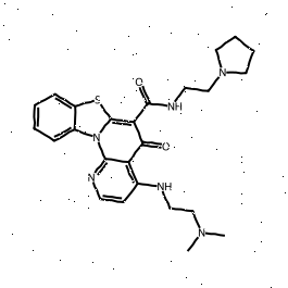 CN(C)CCNc1ccnc2c1c(=O)c(C(=O)NCCN1CCCC1)c1sc3ccccc3n12